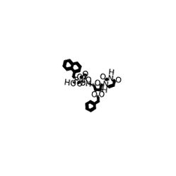 O=c1ccn([C@@H]2O[C@H](COP(=O)(O)OP(=O)(O)Cc3cccc4ccccc34)C3OC(Cc4ccccc4)O[C@@H]32)c(=O)[nH]1